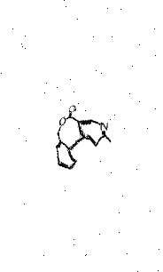 Cc1cc2c(cn1)C(=O)OCc1ccccc1-2